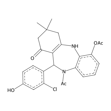 CC(=O)Oc1cccc2c1NC1=C(C(=O)CC(C)(C)C1)C(c1ccc(O)cc1Cl)N2C(C)=O